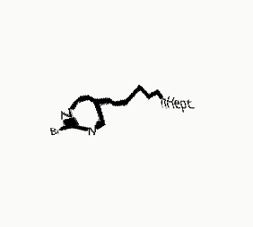 CCCCCCCCCCCCc1cnc(Br)nc1